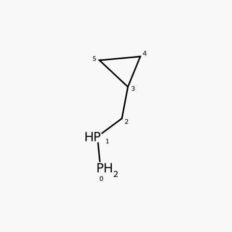 PPCC1CC1